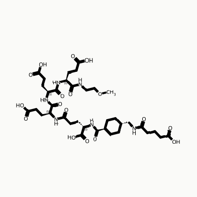 COCCNC(=O)[C@H](CCC(=O)O)NC(=O)[C@H](CCC(=O)O)NC(=O)[C@H](CCC(=O)O)NC(=O)CC[C@H](NC(=O)[C@H]1CC[C@H](CNC(=O)CCCC(=O)O)CC1)C(=O)O